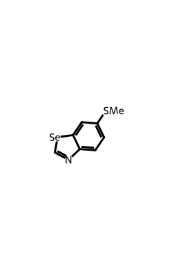 CSc1ccc2nc[se]c2c1